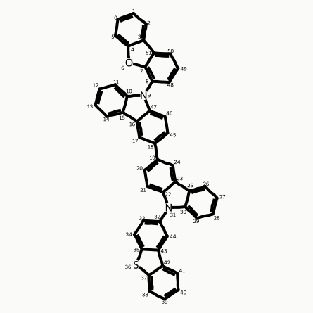 c1ccc2c(c1)oc1c(-n3c4ccccc4c4cc(-c5ccc6c(c5)c5ccccc5n6-c5ccc6sc7ccccc7c6c5)ccc43)cccc12